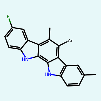 CC(=O)c1c(C)c2c3cc(F)ccc3[nH]c2c2[nH]c3ccc(C)cc3c12